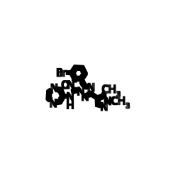 Cc1c(-c2nc3c4cccc(Br)c4nc(Nc4cnccnc4=O)n3n2)cnn1C